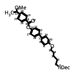 CCCCCCCCCCCCCCCOc1ccc(-c2ccc(OC(=O)c3ccc(C(C)OC)cc3)cc2)cc1